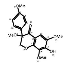 COc1ccc(C2(OC)COc3c(cc(OC)c(O)c3OC)C2=O)cc1